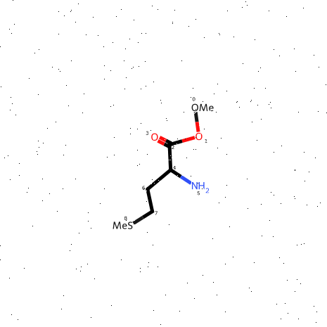 COOC(=O)C(N)CCSC